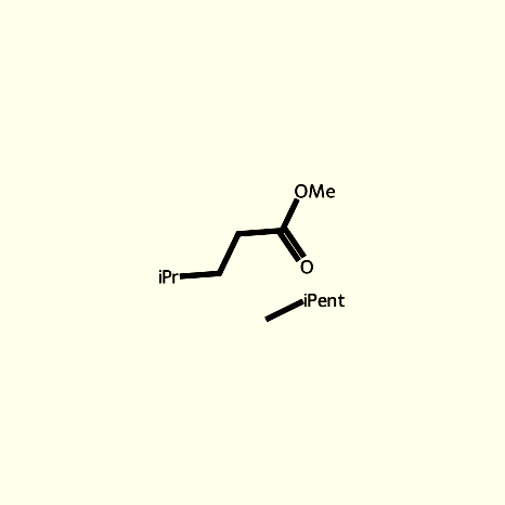 CCCC(C)C.COC(=O)CCC(C)C